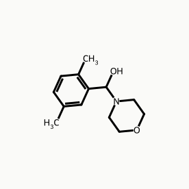 Cc1ccc(C)c(C(O)N2CCOCC2)c1